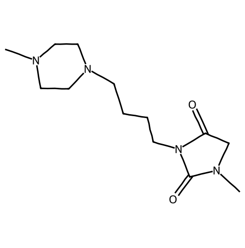 CN1CCN(CCCCN2C(=O)CN(C)C2=O)CC1